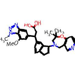 COc1cc(C(CC(O)O)c2ccc3c(c2)C(N2Cc4cnccc4OC(C)(C)C2)CC3)cc2nnn(C)c12